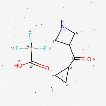 O=C(C1CC1)C1CNC1.O=C(O)C(F)(F)F